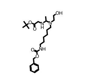 CC(NCC(=O)OC(C)(C)C)N(CCO)CCCCCCNC(=O)OCc1ccccc1